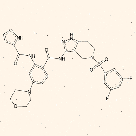 O=C(Nc1cc(N2CCOCC2)ccc1C(=O)Nc1n[nH]c2c1CN(S(=O)(=O)c1cc(F)cc(F)c1)CC2)c1ccc[nH]1